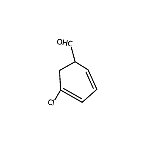 O=CC1C=CC=C(Cl)C1